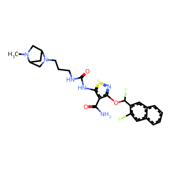 CN1CC2CC1CN2CCCNC(=O)Nc1snc(OC(F)c2cc3ccccc3cc2F)c1C(N)=O